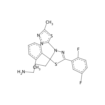 Cc1nnc(N2N=C(c3cc(F)ccc3F)SC2(CCCN)c2ccccc2C)s1